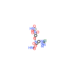 CNC(=O)COc1cc2cc(Nc3nc(N(C)C)ncc3Cl)ccc2n(CCOc2ccc3c(c2)C(=O)N(C2CCC(=O)NC2=O)C3=O)c1=O